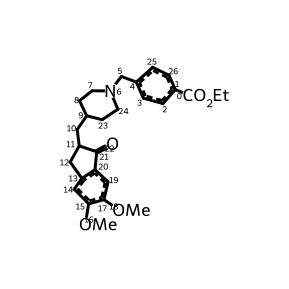 CCO[14C](=O)c1ccc(CN2CCC(CC3Cc4cc(OC)c(OC)cc4C3=O)CC2)cc1